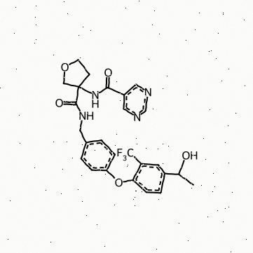 CC(O)c1ccc(Oc2ccc(CNC(=O)C3(NC(=O)c4cncnc4)CCOC3)cc2)c(C(F)(F)F)c1